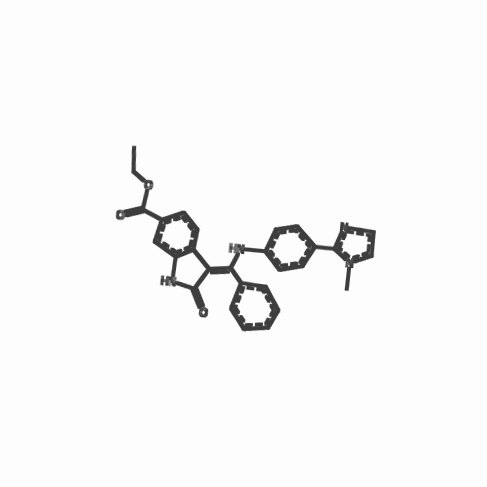 CCOC(=O)c1ccc2c(c1)NC(=O)C2=C(Nc1ccc(-c2nccn2C)cc1)c1ccccc1